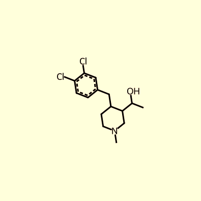 CC(O)C1CN(C)CCC1Cc1ccc(Cl)c(Cl)c1